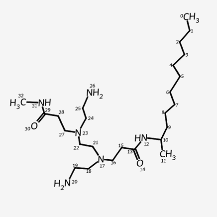 CCCCCCCCCCC(C)NC(=O)CCN(CCN)CCN(CCN)CCC(=O)NC